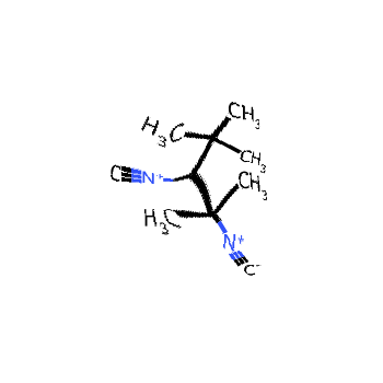 [C-]#[N+]C(C(C)(C)C)C(C)(C)[N+]#[C-]